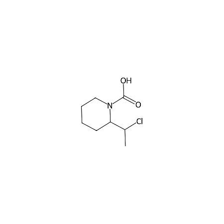 CC(Cl)C1CCCCN1C(=O)O